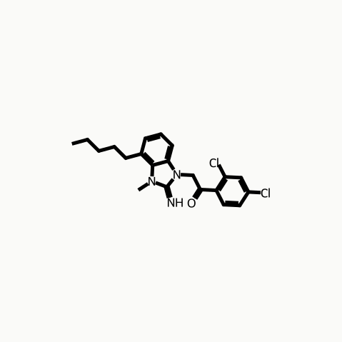 CCCCCc1cccc2c1n(C)c(=N)n2CC(=O)c1ccc(Cl)cc1Cl